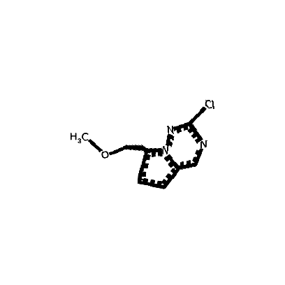 COCc1ccc2cnc(Cl)nn12